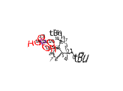 CC(C)(C)CC(C)(C)c1cccc(OP(=O)(O)O)c1C(C)(C)CC(C)(C)C